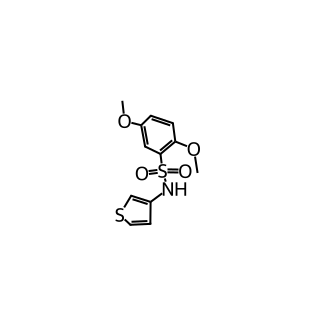 COc1ccc(OC)c(S(=O)(=O)Nc2ccsc2)c1